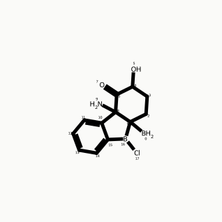 BC12CCC(O)C(=O)C1(N)c1ccccc1B2Cl